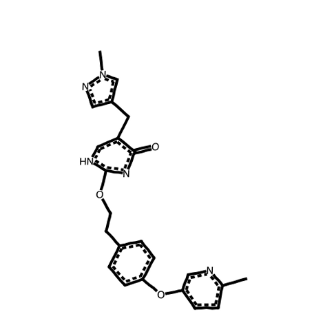 Cc1ccc(Oc2ccc(CCOc3nc(=O)c(Cc4cnn(C)c4)c[nH]3)cc2)cn1